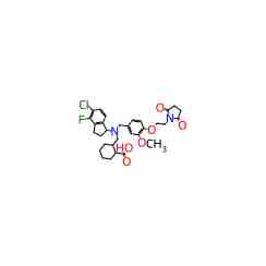 COc1cc(CN(CC2CCCCC2C(=O)O)[C@H]2CCc3c2ccc(Cl)c3F)ccc1OCCN1C(=O)CCC1=O